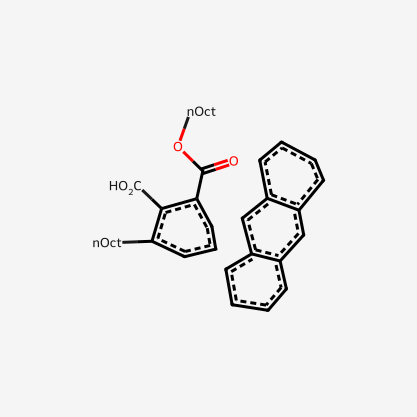 CCCCCCCCOC(=O)c1cccc(CCCCCCCC)c1C(=O)O.c1ccc2cc3ccccc3cc2c1